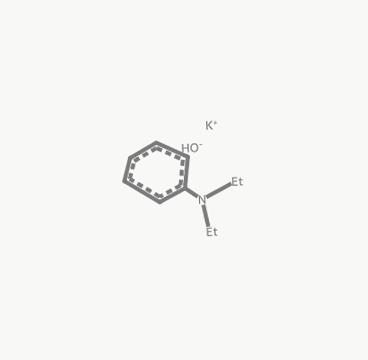 CCN(CC)c1ccccc1.[K+].[OH-]